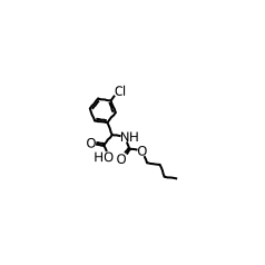 CCCCOC(=O)NC(C(=O)O)c1cccc(Cl)c1